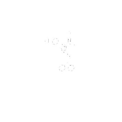 O=C(c1c(CN2CCC(c3ccccc3)(c3ccccc3)CC2)ncn1Cc1ccc(Cl)cc1)N1CCOCC1